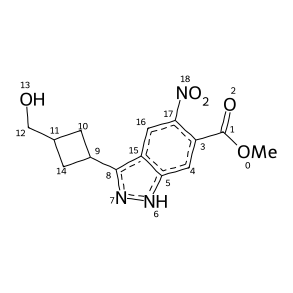 COC(=O)c1cc2[nH]nc(C3CC(CO)C3)c2cc1[N+](=O)[O-]